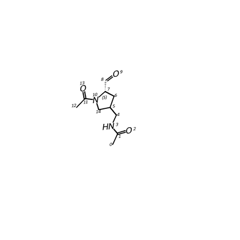 CC(=O)NCC1C[C@@H](C=O)N(C(C)=O)C1